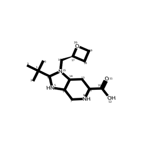 CC(C)(C)C1NC2CNC(C(=O)O)CC2N1C[C@@H]1CCO1